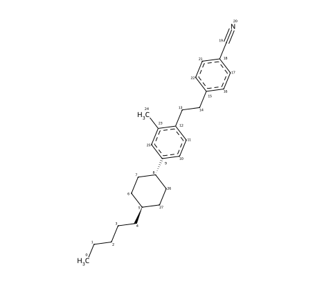 CCCCC[C@H]1CC[C@H](c2ccc(CCc3ccc(C#N)cc3)c(C)c2)CC1